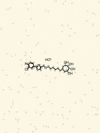 Cl.O[C@H]1[C@H](O)[C@@H](O)CN(CCCCCCOCc2csc(-c3ccc(F)c(Cl)c3)n2)C[C@@H]1O